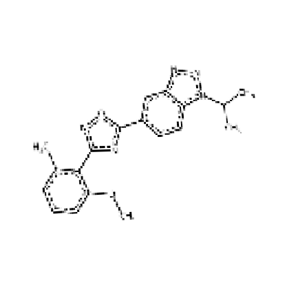 COc1cccc(C)c1-c1noc(-c2ccc3c(c2)nnn3C(C)C)n1